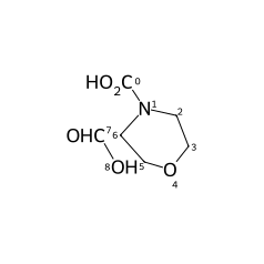 O=C(O)N1CCOCC1.O=CO